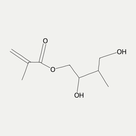 C=C(C)C(=O)OCC(O)C(C)CO